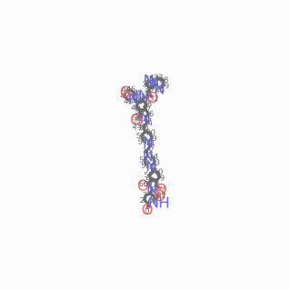 O=C1CCC(N2C(=O)c3ccc(N4CCN(CCN5CCC([C@H](F)CN6Cc7cc(NC(=O)c8cnn9cccnc89)c(N8CCOCC8)cc7C6=O)CC5)CC4)cc3C2=O)C(=O)N1